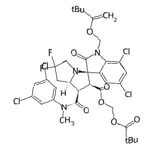 C=C(OCN1C(=O)[C@]2(c3cc(Cl)cc(Cl)c31)[C@@H](C(=O)OCOC(=O)C(C)(C)C)[C@@H](C(=O)N(C)c1cc(Cl)cc(Cl)c1)[C@H]1CC(F)(F)CN12)C(C)(C)C